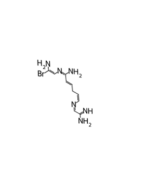 N=C(N)/C=N\C=C/C/C=C/C(N)=N\C=C(/N)Br